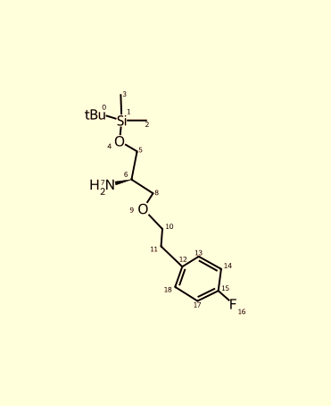 CC(C)(C)[Si](C)(C)OC[C@H](N)COCCc1ccc(F)cc1